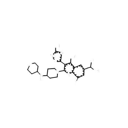 Cc1noc(-c2c(N3CCC(NC4CCOCC4)CC3)nc3c(F)cc(C(C)C)cc3c2C)n1